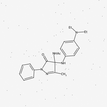 CCN(CC)c1ccc(NC2(NC(C)=O)C(=O)N(c3ccccc3)N=C2C)cc1